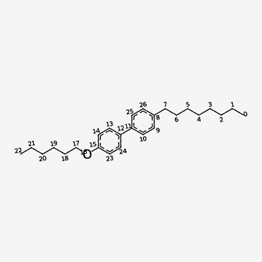 CCCCCCCCc1ccc(-c2ccc(OCCCCCC)cc2)cc1